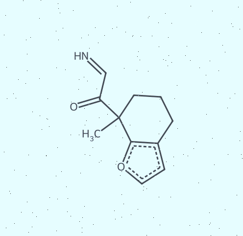 CC1(C(=O)C=N)CCCc2ccoc21